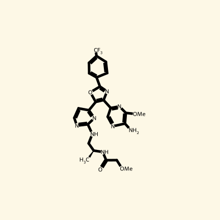 COCC(=O)N[C@@H](C)CNc1nccc(-c2oc(-c3ccc(C(F)(F)F)cc3)nc2-c2cnc(N)c(OC)n2)n1